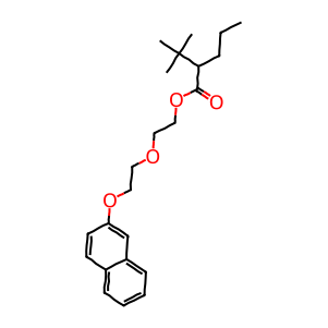 CCCC(C(=O)OCCOCCOc1ccc2ccccc2c1)C(C)(C)C